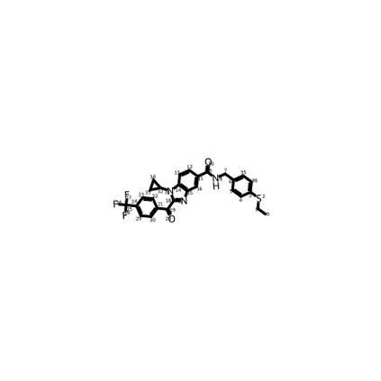 CCSc1ccc(CNC(=O)c2ccc3c(c2)nc(C(=O)c2ccc(C(F)(F)F)cc2)n3C2CC2)cc1